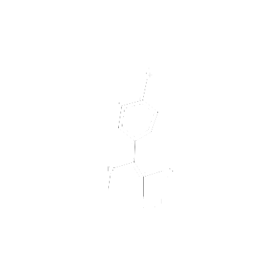 CCN/C(=C(/C#N)C(=O)O)c1ccc([N+](=O)[O-])cc1